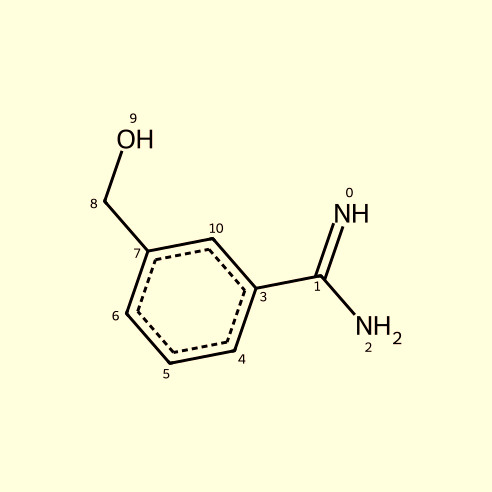 N=C(N)c1cccc(CO)c1